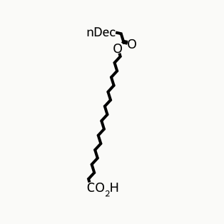 CCCCCCCCCCCC(=O)OCCCCCCCCCCCCCCCCCCC(=O)O